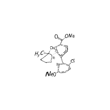 COC(=O)c1ccc(-c2nc(OC)ccc2Cl)c([C@@H]2CCCC2(C)C)c1